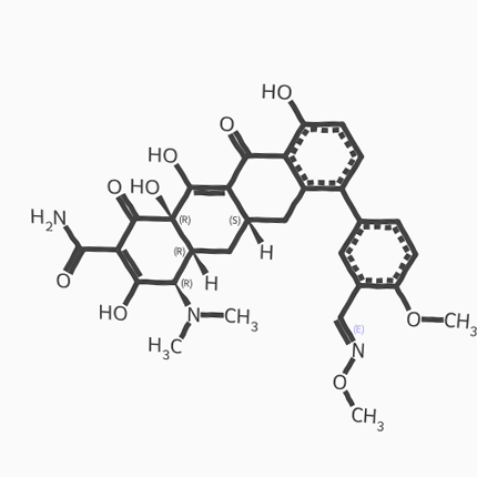 CO/N=C/c1cc(-c2ccc(O)c3c2C[C@@H]2C[C@@H]4[C@@H](N(C)C)C(O)=C(C(N)=O)C(=O)[C@]4(O)C(O)=C2C3=O)ccc1OC